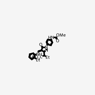 CCc1ccccc1NC=C1C(=O)N(c2ccc(NC(=O)OC)cc2)N=C1C(CC)C(=O)O